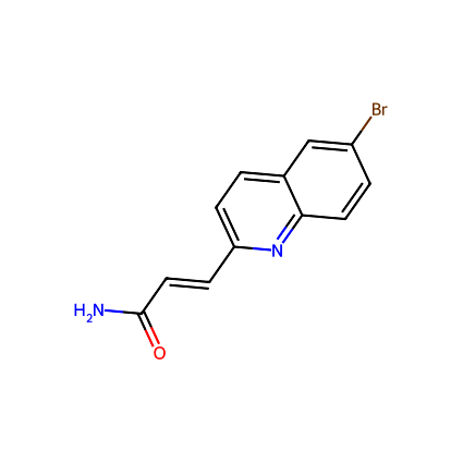 NC(=O)C=Cc1ccc2cc(Br)ccc2n1